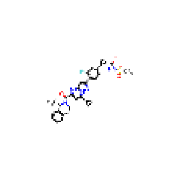 C[C@@H]1c2ccccc2CCN1C(=O)c1cc(C2CC2)n2nc(-c3ccc([C@H]4C[C@@H]4C(=O)NS(=O)(=O)C(F)(F)F)cc3F)cc2n1